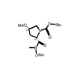 CO[C@H]1C[C@@H](C(=O)N(C)OC)N(C(=O)OC(C)(C)C)C1